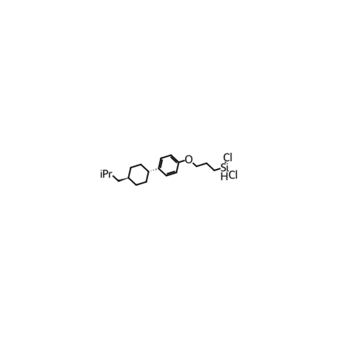 CC(C)C[C@H]1CC[C@H](c2ccc(OCCC[SiH](Cl)Cl)cc2)CC1